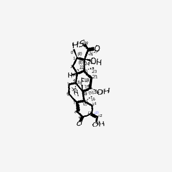 C[C@@H]1C[C@H]2[C@@H]3CCC4=CC(=O)/C(=C\O)C[C@]4(C)[C@@]3(F)[C@@H](O)C[C@]2(C)[C@@]1(O)C(=O)S